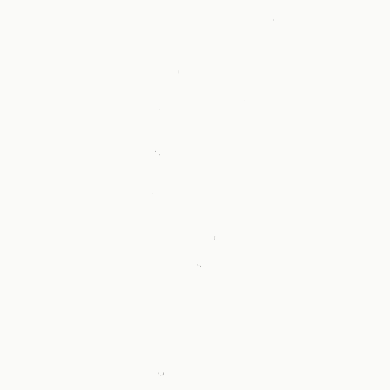 CSc1ccc(CNC(=O)c2ccc3c(c2)OCCN3c2cc(C)c(-c3cccc(OC(F)(F)F)c3)s2)cc1